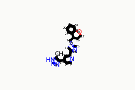 Cc1[nH]nnc1-c1ccnc(-c2cn(CC3CCOc4ccccc43)cn2)c1